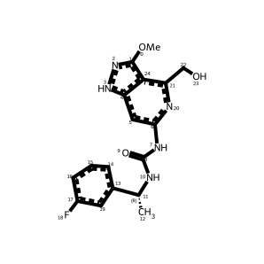 COc1n[nH]c2cc(NC(=O)N[C@H](C)c3cccc(F)c3)nc(CO)c12